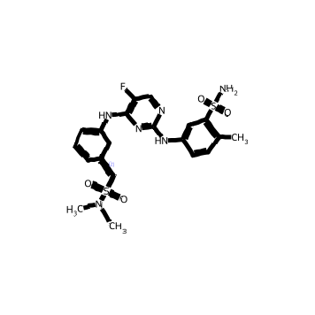 Cc1ccc(Nc2ncc(F)c(NC3=CC=C/C(=C\S(=O)(=O)N(C)C)C3)n2)cc1S(N)(=O)=O